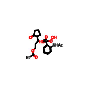 CC(=O)Nc1ccccc1[As](=O)(O)OO.CCC(=O)OCCCC1CCCC1=O